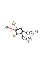 CCCCOc1c(Br)cc(C(=O)O)c(C(=O)O)c1Br